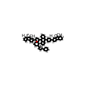 CC1(C)c2ccccc2-c2ccc(-c3ccc(-c4c5ccccc5c(-c5ccc(-c6ccc7c(c6)C(C)(C)c6ccccc6-7)cc5)c5cc(-n6c(-c7ccccc7)ccc6-c6ccccc6)ccc45)cc3)cc21